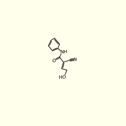 N#CC(=CCO)C(=O)Nc1ccccc1